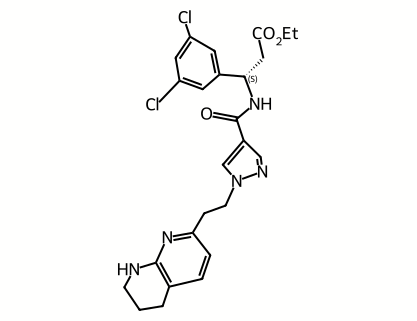 CCOC(=O)C[C@H](NC(=O)c1cnn(CCc2ccc3c(n2)NCCC3)c1)c1cc(Cl)cc(Cl)c1